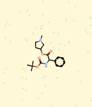 CN1CCC(OC(=O)C(NC(=O)OC(C)(C)C)c2ccccc2)C1